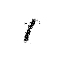 Nc1ccc(CCOC(=O)C=Cc2ccc(OC(=O)c3ccc(OCC(F)(F)F)cc3)cc2)c(N)c1